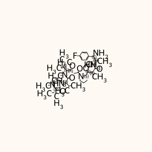 CC[C@H](C)[C@@H]([C@@H](CC(=O)N1CCC[C@H]1[C@H](OC)[C@@H](C)C(=O)N[C@H](C)[C@@H](N)c1ccc(F)cc1)OC)N(C)C(=O)[C@@H](NC(=O)[C@H](C(C)C)N(C)C)C(C)C